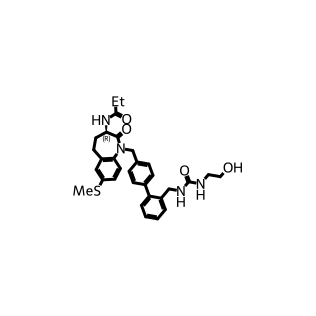 CCC(=O)N[C@@H]1CCc2cc(SC)ccc2N(Cc2ccc(-c3ccccc3CNC(=O)NCCO)cc2)C1=O